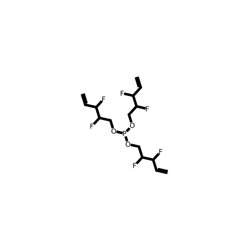 C=CC(F)C(F)COP(OCC(F)C(F)C=C)OCC(F)C(F)C=C